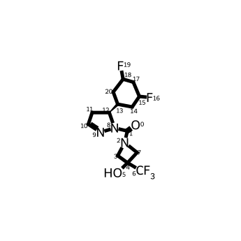 O=C(N1CC(O)(C(F)(F)F)C1)N1N=CC[C@H]1C1CC(F)CC(F)C1